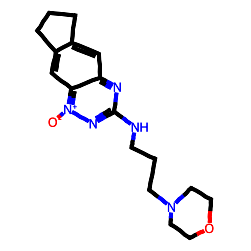 [O-][n+]1nc(NCCCN2CCOCC2)nc2cc3c(cc21)CCC3